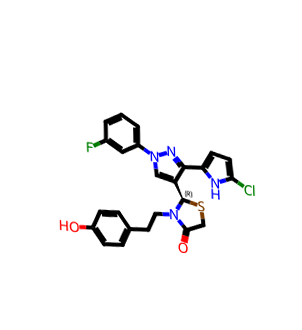 O=C1CS[C@H](c2cn(-c3cccc(F)c3)nc2-c2ccc(Cl)[nH]2)N1CCc1ccc(O)cc1